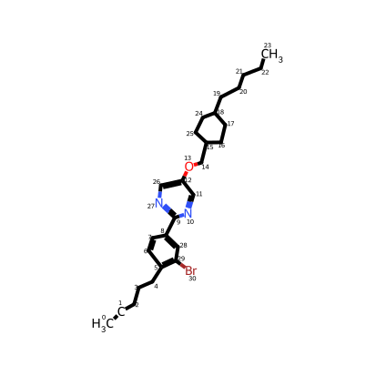 CCCCCc1ccc(-c2ncc(OCC3CCC(CCCCC)CC3)cn2)cc1Br